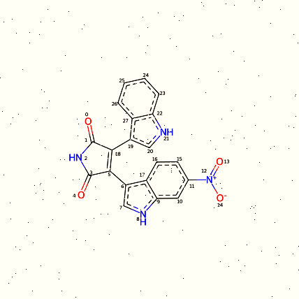 O=C1NC(=O)C(c2c[nH]c3cc([N+](=O)[O-])ccc23)=C1c1c[nH]c2ccccc12